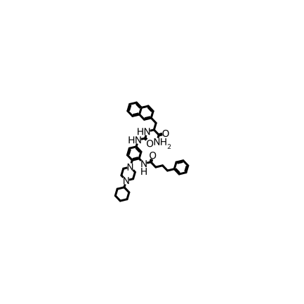 NC(=O)C(Cc1ccc2ccccc2c1)NC(=O)Nc1ccc(N2CCN(C3CCCCC3)CC2)c(NC(=O)CCCc2ccccc2)c1